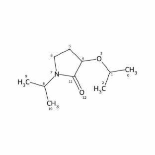 CC(C)OC1CCN(C(C)C)C1=O